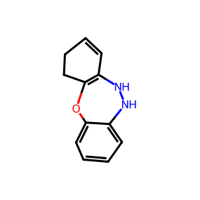 C1=Cc2[nH][nH]c3ccccc3oc2CC1